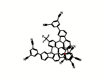 N#Cc1cc(C#N)cc(-c2ccc3c4ccc(-c5cc(C#N)cc(C#N)c5)cc4n(-c4cc(C(F)(F)F)cc(-n5c6cc(-c7cc(C#N)cc(C#N)c7)ccc6c6ccc(-c7cc(C#N)cc(C#N)c7)cc65)c4-c4cccc(C#N)c4)c3c2)c1